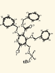 CC(C)(C)[Si](C)(C)OCc1c(Cl)nc(OCc2ccccc2)c(C(=O)OCc2ccccc2)c1OCc1ccccc1